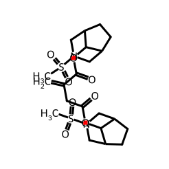 C=C(CC(=O)OC1C2CCC1CN(S(C)(=O)=O)C2)C(=O)OC1C2CCC1CN(S(C)(=O)=O)C2